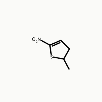 CC1CC=C([N+](=O)[O-])S1